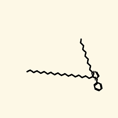 CCCCCCCCCCCCCCCCCCCc1n(-c2ccccc2)cc[n+]1CCCCCCCCCC